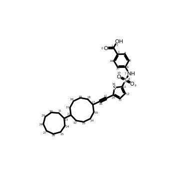 O=C(O)c1ccc(NS(=O)(=O)c2ccc(C#CC3CCCCC(C4CCCCCCCC4)CCCC3)s2)cc1